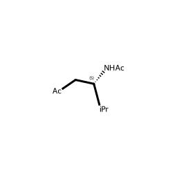 CC(=O)C[C@H](NC(C)=O)C(C)C